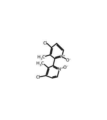 Cc1c(Cl)cc[n+]([O-])c1-c1c(C)c(Cl)cc[n+]1[O-]